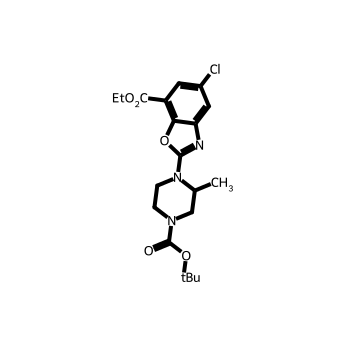 CCOC(=O)c1cc(Cl)cc2nc(N3CCN(C(=O)OC(C)(C)C)CC3C)oc12